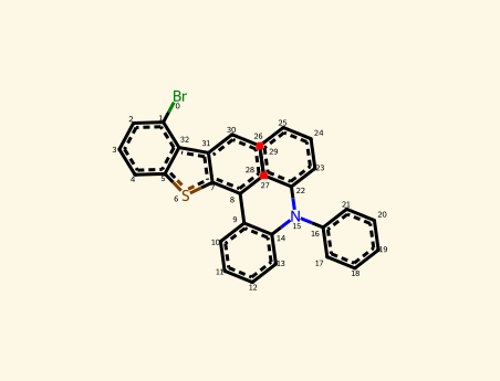 Brc1cccc2sc3c(-c4ccccc4N(c4ccccc4)c4ccccc4)cccc3c12